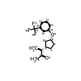 C=C(C(N)=O)[C@H]1CC[C@@H](Oc2cccc(C(F)(F)F)c2)C1